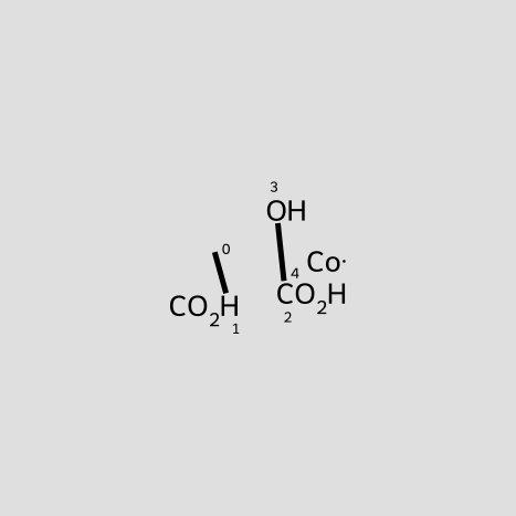 CC(=O)O.O=C(O)O.[Co]